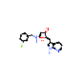 O=C1C=C(NCc2cccc(F)c2)O/C1=C\c1c[nH]c2ncccc12